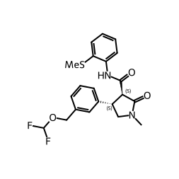 CSc1ccccc1NC(=O)[C@H]1C(=O)N(C)C[C@@H]1c1cccc(COC(F)F)c1